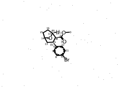 COC(=O)[C@H]1[C@@H](c2ccc(Br)cc2)CC2CC[C@H]1O2